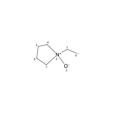 [CH2]C[N+]1([O-])CCCC1